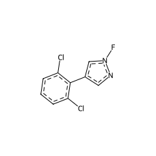 Fn1cc(-c2c(Cl)cccc2Cl)cn1